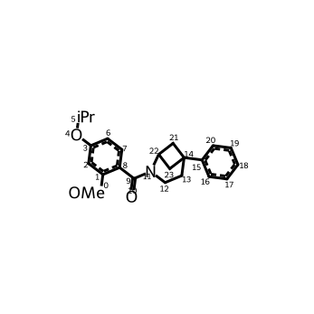 COc1cc(OC(C)C)ccc1C(=O)N1CCC2(c3ccccc3)CC1C2